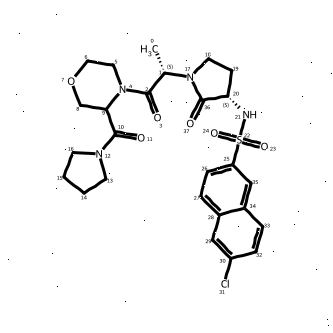 C[C@@H](C(=O)N1CCOCC1C(=O)N1CCCC1)N1CC[C@H](NS(=O)(=O)c2ccc3cc(Cl)ccc3c2)C1=O